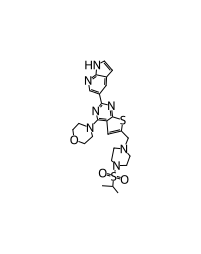 CC(C)S(=O)(=O)N1CCN(Cc2cc3c(N4CCOCC4)nc(-c4cnc5[nH]ccc5c4)nc3s2)CC1